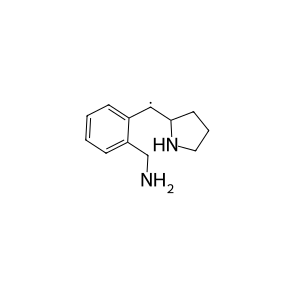 NCc1ccccc1[CH]C1CCCN1